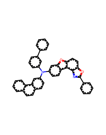 c1ccc(-c2cccc(N(c3ccc4c(c3)oc3ccc5oc(-c6ccccc6)nc5c34)c3ccc4ccc5ccccc5c4c3)c2)cc1